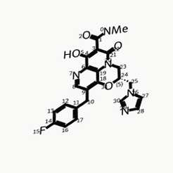 CNC(=O)c1c(O)c2ncc(Cc3ccc(F)cc3)c3c2n(c1=O)C[C@H](Cn1ccnc1)O3